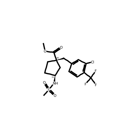 COC(=O)[C@@]1(Cc2ccc(C(F)(F)F)c(Cl)c2)CC[C@H](NS(C)(=O)=O)C1